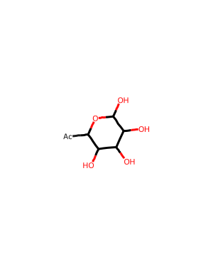 CC(=O)C1OC(O)C(O)C(O)C1O